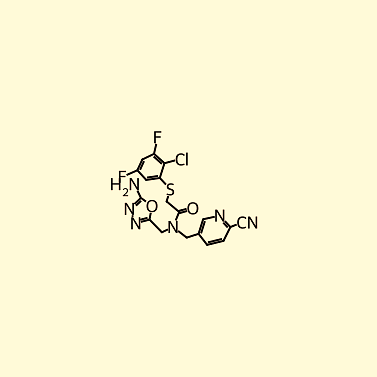 N#Cc1ccc(CN(Cc2nnc(N)o2)C(=O)CSc2cc(F)cc(F)c2Cl)cn1